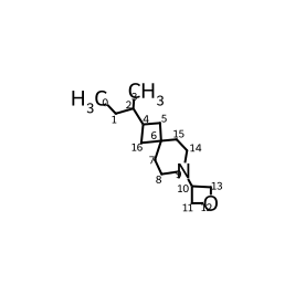 CCC(C)C1CC2(CCN(C3COC3)CC2)C1